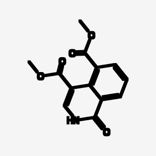 COC(=O)c1cccc2c(=O)[nH]cc(C(=O)OC)c12